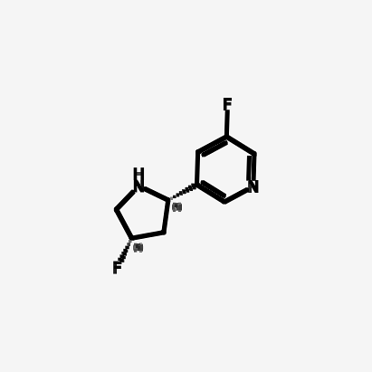 Fc1cncc([C@@H]2C[C@H](F)CN2)c1